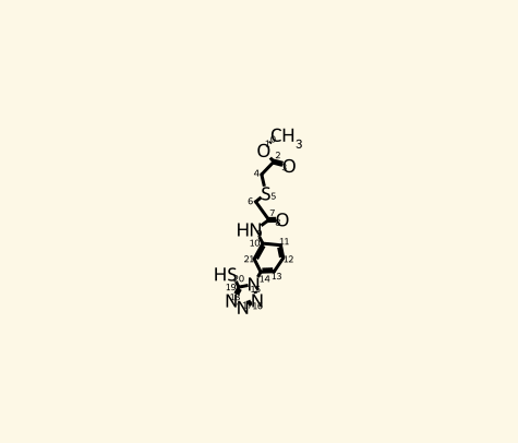 COC(=O)CSCC(=O)Nc1cccc(-n2nnnc2S)c1